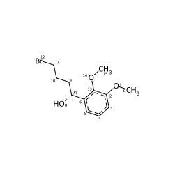 COc1cccc([C@H](O)CCCBr)c1OC